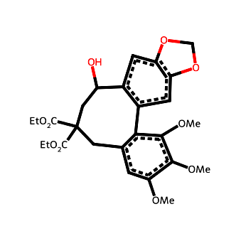 CCOC(=O)C1(C(=O)OCC)Cc2cc(OC)c(OC)c(OC)c2-c2cc3c(cc2C(O)C1)OCO3